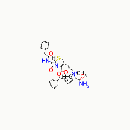 C[N+](C)(CC=CC1=C(C(=O)OC(c2ccccc2)c2ccccc2)N2C(=O)[C@@H](NC(=O)Cc3ccccc3)[C@@H]2SC1)CC(N)=O